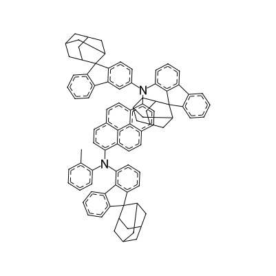 Cc1ccccc1N(c1cccc2c1-c1ccccc1C21C2CC3CC(C2)CC1C3)c1ccc2ccc3c(N(c4ccc5c(c4)-c4ccccc4C54C5CC6CC(C5)CC4C6)c4cccc5c4C4(c6ccccc6-5)C5CC6CC(C5)CC4C6)ccc4ccc1c2c43